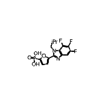 CC(C)Cn1c(-c2ccc(P(=O)(O)O)o2)nc2cc(F)c(F)c(F)c21